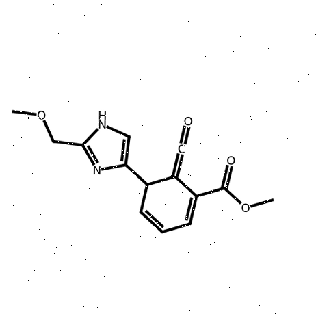 COCc1nc(C2C=CC=C(C(=O)OC)C2=C=O)c[nH]1